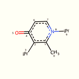 Cc1c(C(C)C)c(=O)ccn1C(C)C